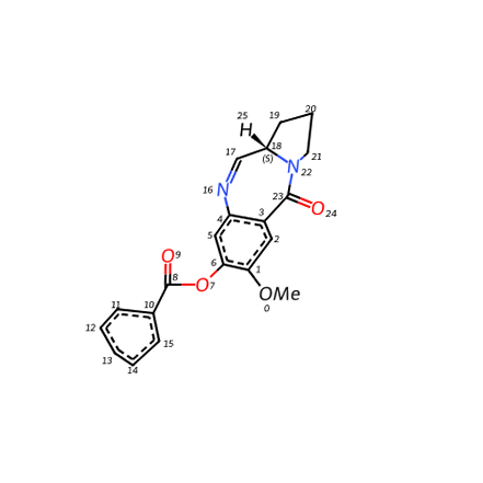 COc1cc2c(cc1OC(=O)c1ccccc1)N=C[C@@H]1CCCN1C2=O